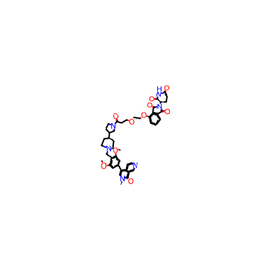 COc1cc(-c2cn(C)c(=O)c3cnccc23)cc(OC)c1CN1CCC(C2CCN(C(=O)CCOCCOc3cccc4c3C(=O)N(C3CCC(=O)NC3=O)C4=O)C2)CC1